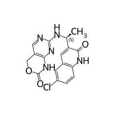 C[C@H](Nc1ncc2c(n1)NC(=O)OC2)c1cc2cc(Cl)ccc2[nH]c1=O